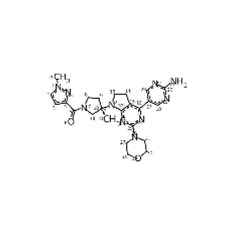 Cn1ccc(C(=O)N2CC[C@](C)(N3CCc4c(-c5cnc(N)nc5)nc(N5CCOCC5)nc43)C2)n1